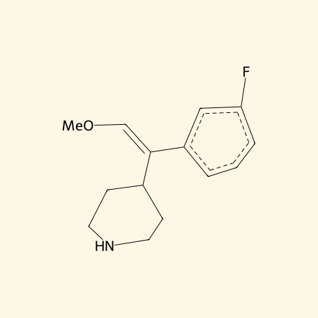 COC=C(c1cccc(F)c1)C1CCNCC1